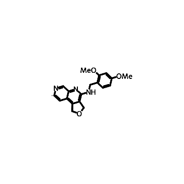 COc1ccc(CNc2nc3cn[c]cc3c3c2COC3)c(OC)c1